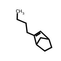 CCCCC1=CC2CCC1C2